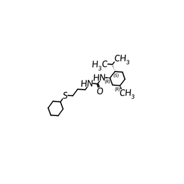 CC(C)[C@@H]1CC[C@@H](C)C[C@H]1NC(=O)NCCCSC1CCCCC1